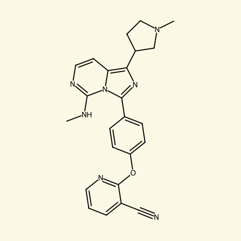 CNc1nccc2c(C3CCN(C)C3)nc(-c3ccc(Oc4ncccc4C#N)cc3)n12